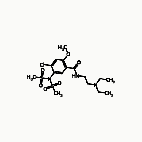 CCN(CC)CCNC(=O)c1cc(N(S(C)(=O)=O)S(C)(=O)=O)c(Cl)cc1OC